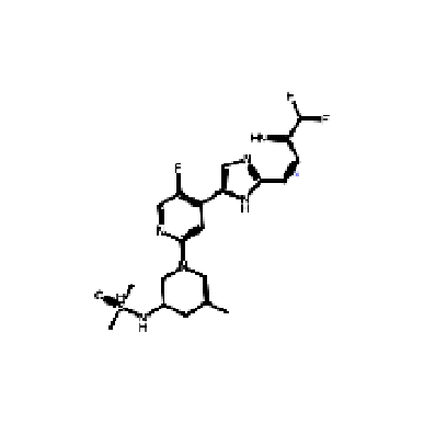 CC1CC(N[SH](C)(C)=O)CN(c2cc(-c3cnc(/C=C\C(=N)C(F)F)[nH]3)c(F)cn2)C1